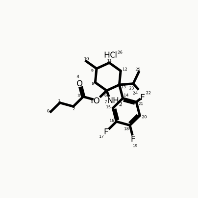 CCCC(=O)OC1(N)CC(C)CCC1(c1cc(F)c(F)cc1F)C(C)C.Cl